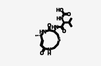 CC(C)[C@H](NC(=O)O)C(=O)N[C@H]1CSCCNC(=O)/C=C/[C@H](C)NC1=O